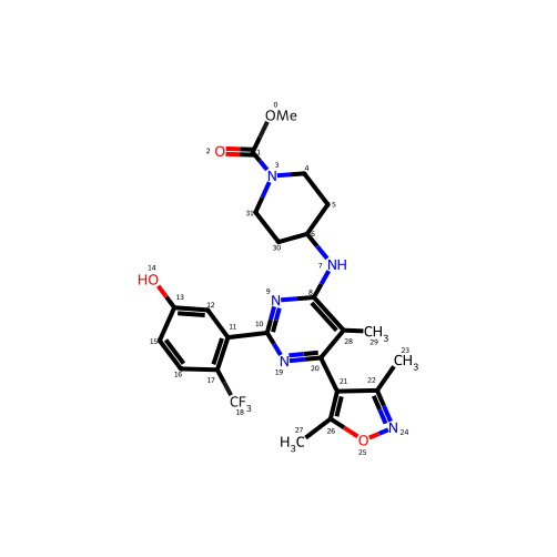 COC(=O)N1CCC(Nc2nc(-c3cc(O)ccc3C(F)(F)F)nc(-c3c(C)noc3C)c2C)CC1